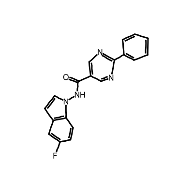 O=C(Nn1ccc2cc(F)ccc21)c1cnc(-c2ccccc2)nc1